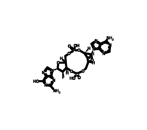 Nc1nc(O)c2ncn([C@@H]3O[C@@H]4COP(=O)(O)O[C@@H]5[C@@H](F)[C@@H](COP(=O)(O)O[C@H]4[C@H]3F)O[C@H]5n3cnc4c(N)ncnc43)c2n1